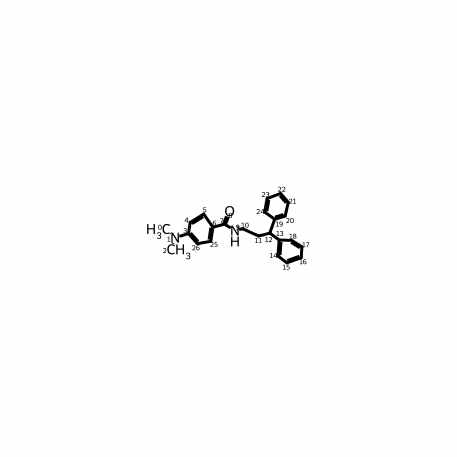 CN(C)c1ccc(C(=O)NCCC(c2ccccc2)c2ccccc2)cc1